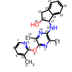 CCc1nc(Oc2ncccc2C)c(CC)nc1N[C@@H]1c2ccccc2C[C@@H]1O